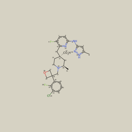 Cc1cc(Nc2ccc(F)c(C[C@]3(C(=O)O)CCN(CC4(c5cccc(Cl)c5F)COC4)[C@H](C)C3)n2)n[nH]1